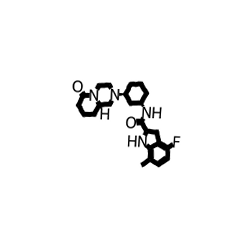 Cc1ccc(F)c2c1NC(C(=O)N[C@@H]1CCC[C@H](N3CCN4C(=O)CCC[C@@H]4C3)C1)C2